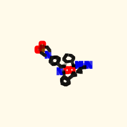 N#CC1(NC(=O)[C@@H]2CCCC[C@H]2c2oc(-c3ccccc3C3CC3)nc2-c2ccc(N3CCS(=O)(=O)CC3)cc2)CC1